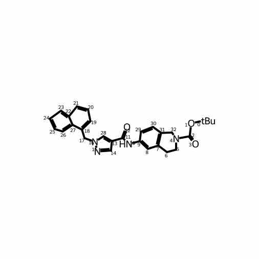 CC(C)(C)OC(=O)N1CCc2cc(NC(=O)c3cnn(Cc4cccc5ccccc45)c3)ccc2C1